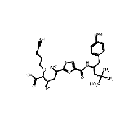 C#CCCCON(C(=O)CCCC)C(CC(OC(C)=O)c1nc(C(=O)NC(Cc2ccc(NC)cc2)CC(C)(C)C(=O)O)cs1)C(C)C